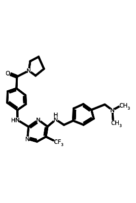 CN(C)Cc1ccc(CNc2nc(Nc3ccc(C(=O)N4CCCC4)cc3)ncc2C(F)(F)F)cc1